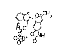 CCc1c(-c2[o+]c(C)cc3cc4[nH]c(=O)oc4cc23)sc2cccc(F)c12.[O-][Cl+3]([O-])([O-])[O-]